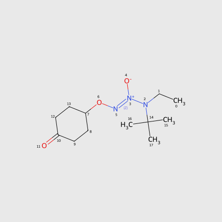 CCN(/[N+]([O-])=N/OC1CCC(=O)CC1)C(C)(C)C